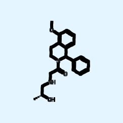 COc1cccc2c1CCN(C(=O)CNC[C@@H](C)O)C2c1ccccc1